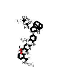 CNC(=O)c1cccc(C)c1Nc1nc(Nc2ccc(NC(=O)[C@]34CC5CC(C3)[C@H](N3CC[C@H](NC(=O)OC(C)(C)C)C3)C(C5)C4)cc2OC)ncc1C(F)(F)F